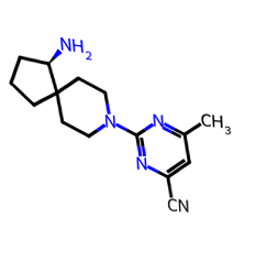 Cc1cc(C#N)nc(N2CCC3(CCC[C@H]3N)CC2)n1